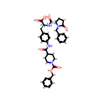 O=C(Nc1ccc(C[C@H](NC(=O)[C@@H]2CCC(=O)N2Cc2ccccc2)C(=O)O)cc1)C1CCN(C(=O)OCc2ccccc2)CC1